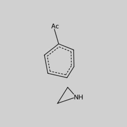 C1CN1.CC(=O)c1ccccc1